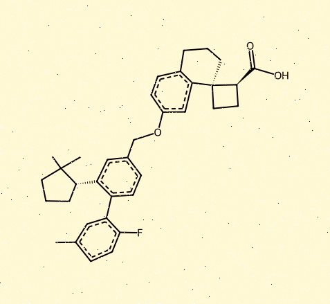 Cc1ccc(F)c(-c2ccc(COc3ccc4c(c3)[C@]3(CCC4)CC[C@@H]3C(=O)O)cc2[C@@H]2CCCC2(C)C)c1